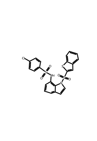 O=S(=O)(Nc1cccc2ccn(S(=O)(=O)c3cc4ccccc4s3)c12)c1ccc(Cl)cc1